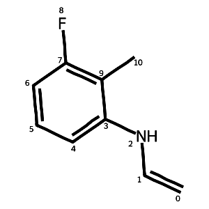 C=CNc1cccc(F)c1C